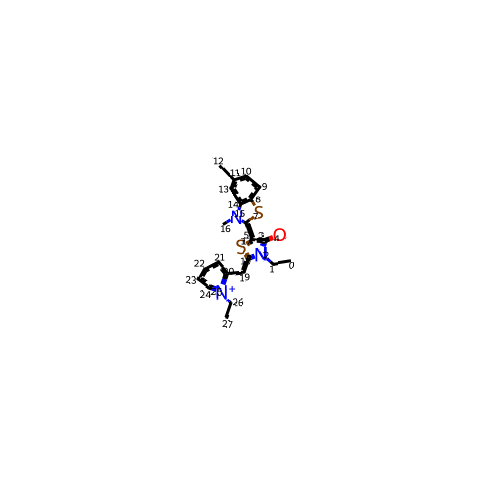 CCn1c(=O)/c(=C2\Sc3ccc(C)cc3N2C)s/c1=C\c1cccc[n+]1CC